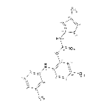 Cc1cncc(Nc2ccc(C)nc2OC(=O)Nc2nc(C)cs2)c1